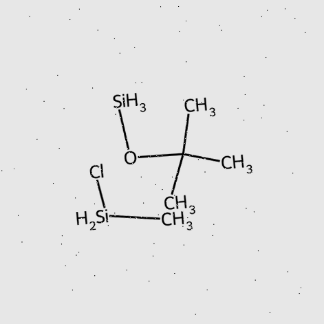 CC(C)(C)O[SiH3].C[SiH2]Cl